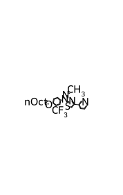 CC=NN(c1ccc(OCCCCCCCC)c(C(F)(F)F)c1)c1nc(-c2cccnc2)cs1